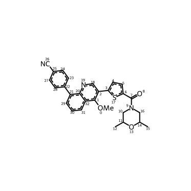 COc1c(-c2ccc(C(=O)N3CC(C)OC(C)C3)s2)cnc2c(-c3ccc(C#N)cc3)cccc12